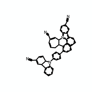 N#CC1=CC2c3ccccc3N(c3ccc(-c4ccccc4C4CC=CC(C#N)=CC4n4c5ccccc5c5cc(C#N)ccc54)cc3)C2C=C1